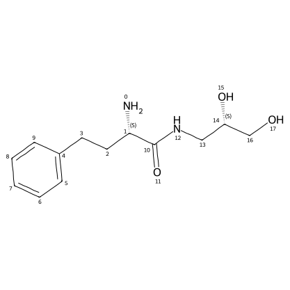 N[C@@H](CCc1ccccc1)C(=O)NC[C@H](O)CO